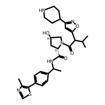 Cc1ncsc1-c1ccc(C(C)NC(=O)[C@@H]2C[C@@H](O)CN2C(=O)C(c2cc(C3CCNCC3)no2)C(C)C)cc1